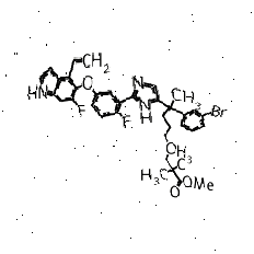 C=Cc1c(Oc2ccc(F)c(-c3ncc(C(C)(CCCOCC(C)(C)C(=O)OC)c4cccc(Br)c4)[nH]3)c2)c(F)cc2[nH]ccc12